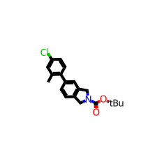 Cc1cc(Cl)ccc1-c1ccc2c(c1)CN(C(=O)OC(C)(C)C)C2